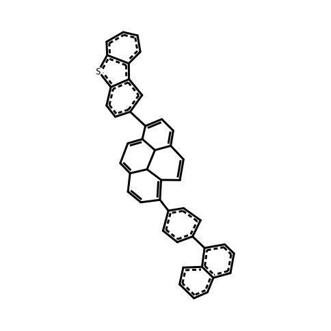 C1=CC2=C(c3ccc(-c4cccc5ccccc45)cc3)C=CC3=CC=C4C(c5ccc6sc7ccccc7c6c5)=CC=C1C4C32